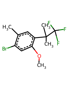 COc1cc(Br)c(C)cc1C(C)(C)C(F)(F)F